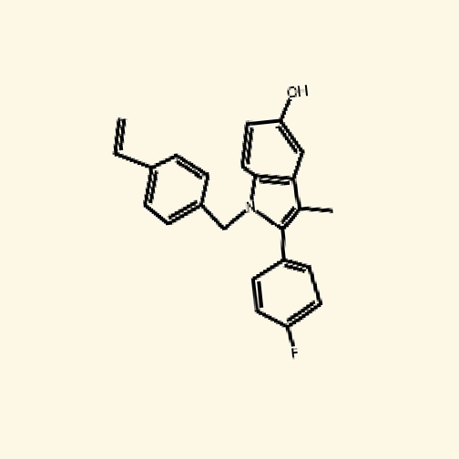 C=Cc1ccc(Cn2c(-c3ccc(F)cc3)c(C)c3cc(O)ccc32)cc1